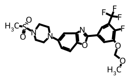 COCOc1cc(-c2nc3cc(N4CCN(S(C)(=O)=O)CC4)ccc3o2)cc(C(F)(F)F)c1F